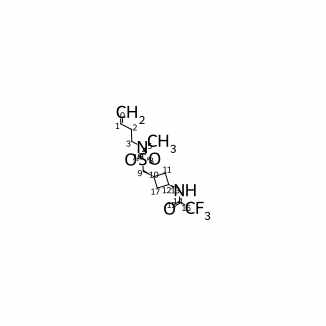 C=CCCN(C)S(=O)(=O)C[C@H]1C[C@@H](NC(=O)C(F)(F)F)C1